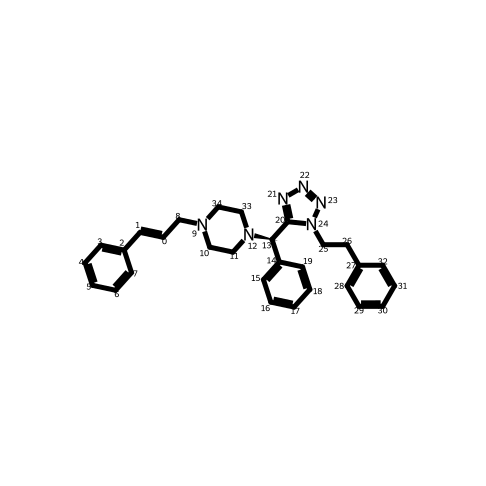 C(=C\c1ccccc1)/CN1CCN([C@H](c2ccccc2)c2nnnn2CCc2ccccc2)CC1